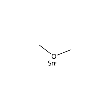 COC.[Sn]